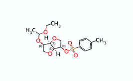 CCOC(C)O[C@@H]1CO[C@H]2[C@@H]1OC[C@H]2OS(=O)(=O)c1ccc(C)cc1